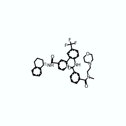 CN(CCN1CCOCC1)C(=O)c1cccc(C(=O)Nc2ccc(C(F)(F)F)cc2-c2cc(C(=O)N[C@H]3CCCc4ccccc43)ccn2)c1